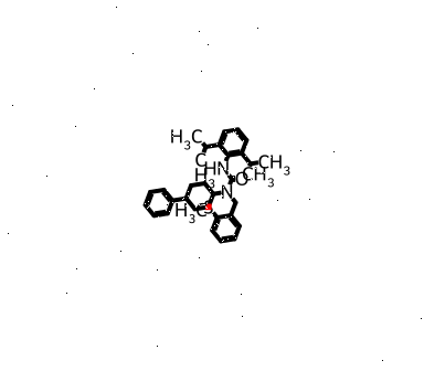 CSc1ccccc1CN(C(=O)Nc1c(C(C)C)cccc1C(C)C)C1CCC(c2ccccc2)CC1